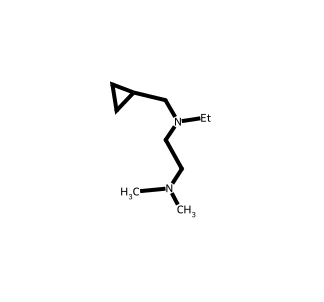 CCN(CCN(C)C)CC1CC1